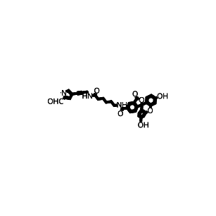 O=CC1=CC(C#CCNC(=O)CCCCCNC(=O)c2ccc3c(c2)C(=O)OC32c3ccc(O)cc3Oc3cc(O)ccc32)=C[N]1